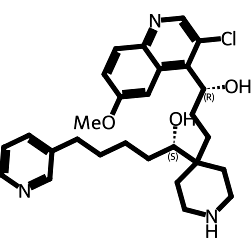 COc1ccc2ncc(Cl)c([C@H](O)CCC3([C@@H](O)CCCCc4cccnc4)CCNCC3)c2c1